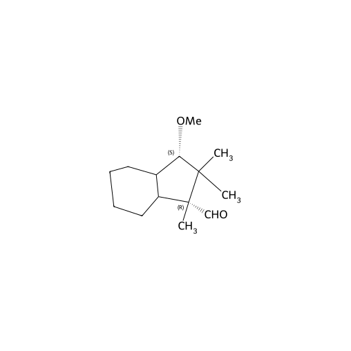 CO[C@H]1C2CCCCC2[C@@](C)(C=O)C1(C)C